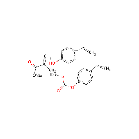 C=C(C)C(=O)OC.C=Cc1ccc(O)cc1.C=Cc1ccc(OC(=O)OC(C)(C)C)cc1